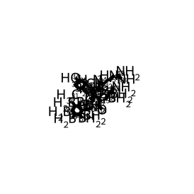 Bc1c(B)c(B)c(C(B)(B)CNC(=O)[C@H](CC(B)(B)C(B)(B)CN)NC(=O)[C@H](Cc2c(C)cc(O)cc2C)NC(=O)[C@H](N)CCCNC(=N)N)c(B)c1B